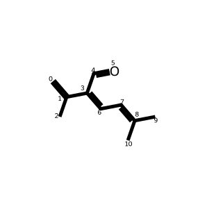 C=C(C)C(C=O)=CC=C(C)C